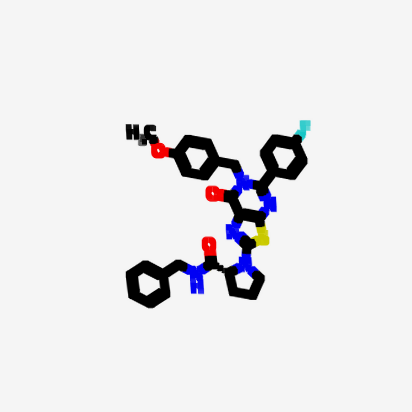 COc1ccc(Cn2c(-c3ccc(F)cc3)nc3sc(N4CCC[C@@H]4C(=O)NCc4ccccc4)nc3c2=O)cc1